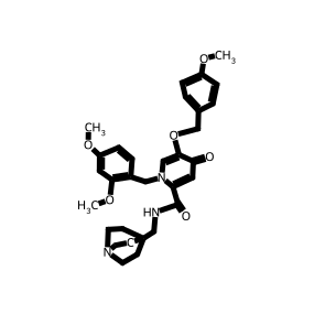 COc1ccc(COc2cn(Cc3ccc(OC)cc3OC)c(C(=O)NCC34CCN(CC3)CC4)cc2=O)cc1